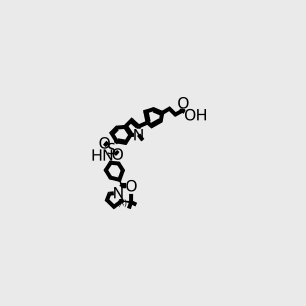 Cn1c(-c2ccc(CCC(=O)O)cc2)cc2ccc(S(=O)(=O)N[C@H]3CC[C@H](C(=O)N4CCC[C@@H]4C(C)(C)C)CC3)cc21